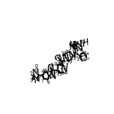 Cn1ccnc1-c1ccc2nc(-c3ccnc(C(=O)N4CCN([C@H](c5ccccc5)c5nn[nH]n5)CC4)c3)oc2c1